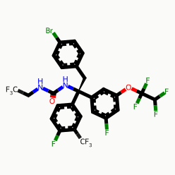 O=C(NCC(F)(F)F)N[C@](Cc1ccc(Br)cc1)(c1cc(F)cc(OC(F)(F)C(F)F)c1)c1ccc(F)c(C(F)(F)F)c1